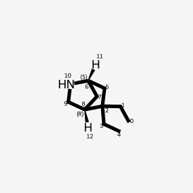 CCC1(CC)C[C@@H]2C[C@H]1CN2